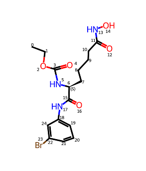 CCOC(=O)N[C@@H](CCCCC(=O)NO)C(=O)Nc1cccc(Br)c1